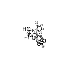 CCOC(=O)C(CC(=O)O)=C(c1ccc(S(C)(=O)=O)cc1)c1cccc(C)c1